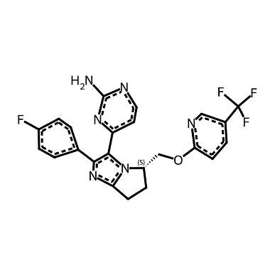 Nc1nccc(-c2c(-c3ccc(F)cc3)nc3n2[C@H](COc2ccc(C(F)(F)F)cn2)CC3)n1